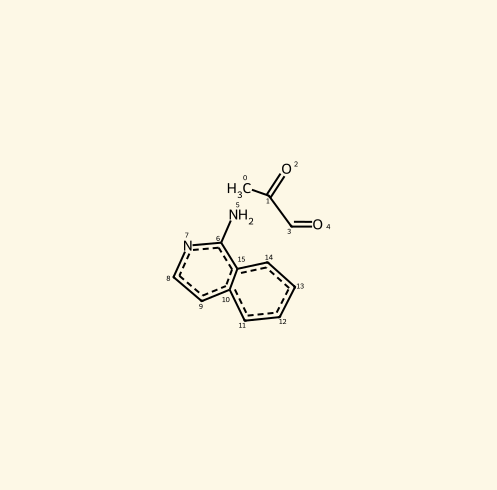 CC(=O)C=O.Nc1nccc2ccccc12